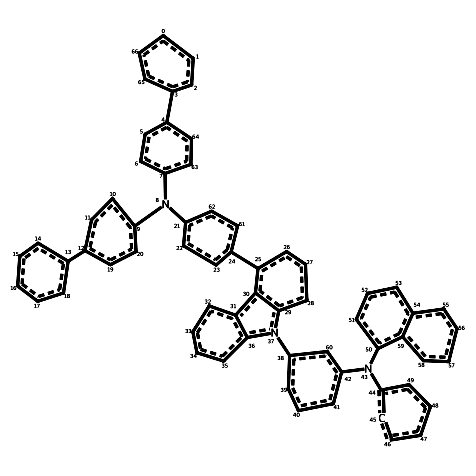 c1ccc(-c2ccc(N(c3ccc(-c4ccccc4)cc3)c3ccc(-c4cccc5c4c4ccccc4n5-c4cccc(N(c5ccccc5)c5cccc6ccccc56)c4)cc3)cc2)cc1